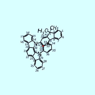 CC1(C)c2ccccc2-c2ccc(-n3c4ccccc4c4ccc5c6ccccc6n(-c6ccccc6)c5c43)cc21